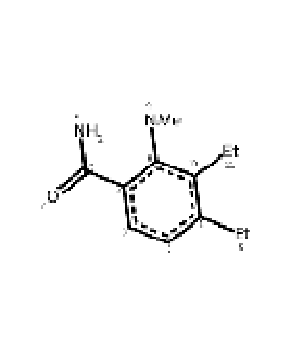 CCc1ccc(C(N)=O)c(NC)c1CC